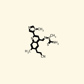 Cc1cc2nc(-c3cncn3C)cc(/C=N/N(C)C(N)=S)c2cc1CCC#N